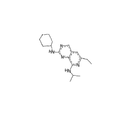 CCc1cc2cnc(NC3CCCCC3)nc2c(NC(C)C)n1